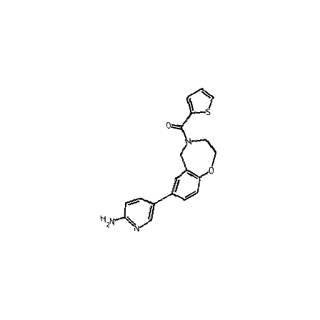 Nc1ccc(-c2ccc3c(c2)CN(C(=O)c2cccs2)CCO3)cn1